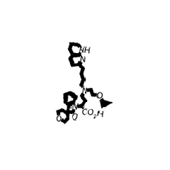 O=C(O)[C@H](CCN(CCCCc1ccc2c(n1)NCCC2)CCOC1CC1)NC(=O)C1(c2ccccc2)CCOCC1